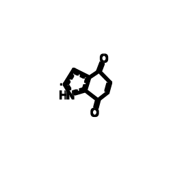 O=C1C=CC(=O)c2[nH][c]cc21